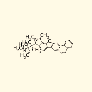 C=CC(C)(N=C)C(C)(C)C1c2ccc3c(oc4cc5c(ccc6ccccc65)cc43)c2C(=C)N1C